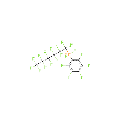 Fc1c(F)c(F)c([PH](F)(F)C(F)(F)C(F)(F)C(F)(F)C(F)(F)C(F)(F)C(F)(F)F)c(F)c1F